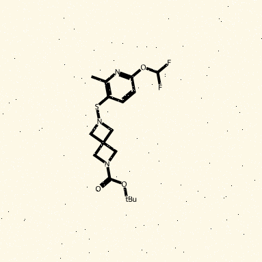 Cc1nc(OC(F)F)ccc1SN1CC2(C1)CN(C(=O)OC(C)(C)C)C2